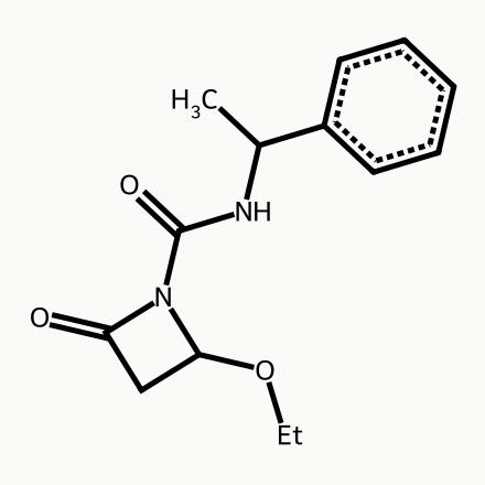 CCOC1CC(=O)N1C(=O)NC(C)c1ccccc1